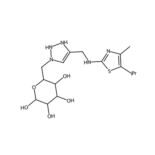 Cc1nc(NCC2=CN(CC3OC(O)C(O)C(O)C3O)NN2)sc1C(C)C